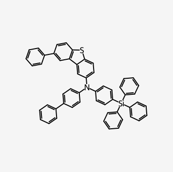 c1ccc(-c2ccc(N(c3ccc([Si](c4ccccc4)(c4ccccc4)c4ccccc4)cc3)c3ccc4sc5ccc(-c6ccccc6)cc5c4c3)cc2)cc1